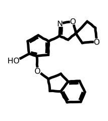 Oc1ccc(C2=NOC3(CCOC3)C2)cc1OC1Cc2ccccc2C1